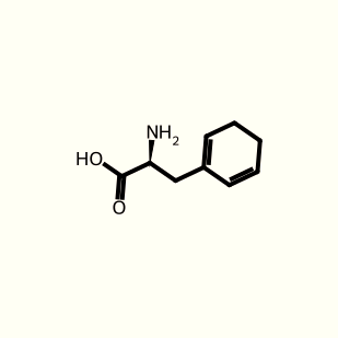 N[C@@H](CC1=CCCC=C1)C(=O)O